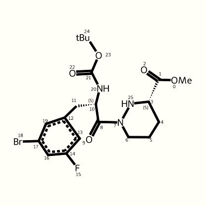 COC(=O)[C@@H]1CCCN(C(=O)[C@H](Cc2cc(F)cc(Br)c2)NC(=O)OC(C)(C)C)N1